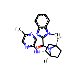 Cn1c(C(=O)N2[C@@H]3CC[C@H]2[C@H](Nc2cnc(C(F)(F)F)cn2)C3)nc2ccccc21